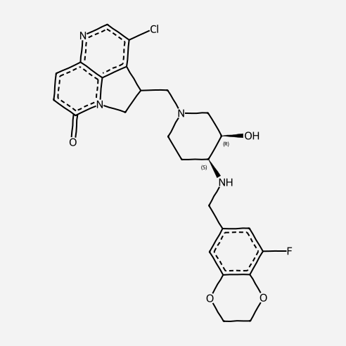 O=c1ccc2ncc(Cl)c3c2n1CC3CN1CC[C@H](NCc2cc(F)c3c(c2)OCCO3)[C@H](O)C1